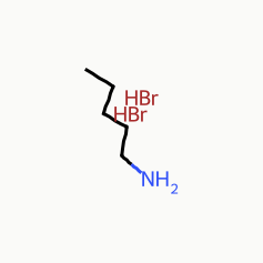 Br.Br.CCCCCN